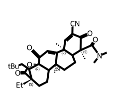 CC[C@@]12CCC3[C@](OC1=O)(C(=O)C=C1[C@@]4(C)C=C(C#N)C(=O)[C@@](C)(C(=O)N(C)C)C4CC[C@]13C)C2CC(C)(C)C